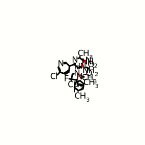 C/C=C(F)\C(=N/C)C(C)(F)CN(C[C@H]1CC[C@H](C)CC1)C(=C(N)N)/C(=N\C(C)c1noc(=O)[nH]1)C1C#CC(Cl)=CN=C1